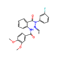 CC=NN(C(=O)c1ccccc1NC(=O)c1ccc(OC)c(OC)c1)c1cccc(F)c1